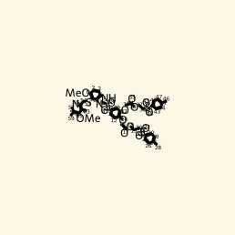 COc1ccc2[nH]c(S(=O)(=O)c3ccc(OCC(=O)OCCS(=O)(=O)c4ccc(C)cc4)c(OCC(=O)OCCS(=O)(=O)c4ccc(C)cc4)c3)nc2c1SCc1ncc(C)c(OC)c1C